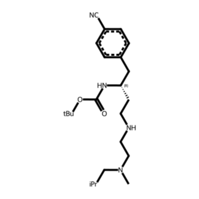 CC(C)CN(C)CCNCC[C@@H](Cc1ccc(C#N)cc1)NC(=O)OC(C)(C)C